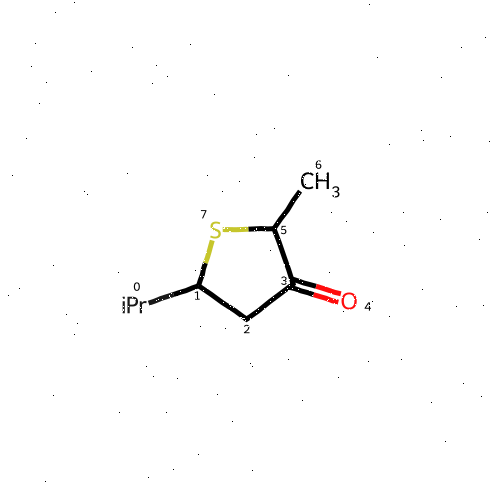 [CH2]C(C)C1CC(=O)C(C)S1